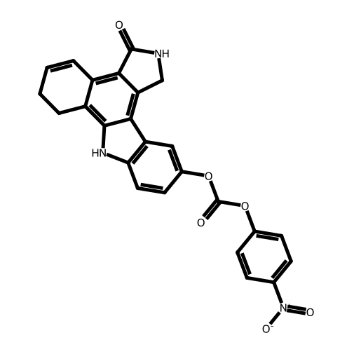 O=C(Oc1ccc([N+](=O)[O-])cc1)Oc1ccc2[nH]c3c4c(c5c(c3c2c1)CNC5=O)C=CCC4